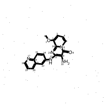 COc1cccn2c(=O)c(N)c(Nc3ccc4ncccc4c3)nc12